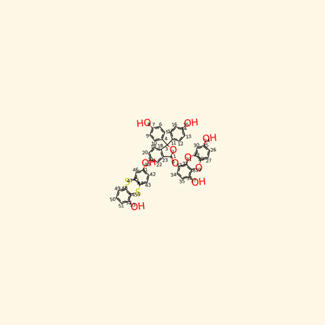 O=C1OC(c2ccc(O)cc2)(c2ccc(O)cc2)c2ccccc21.Oc1ccc2c(c1)Oc1cccc(O)c1O2.Oc1ccc2c(c1)Sc1cccc(O)c1S2